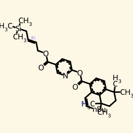 CCCC/C=C\c1c(C(=O)Oc2ccc(C(=O)OC/C=C/C[Si](C)(C)C)cn2)ccc2c1C(C)(C)CCC2(C)C